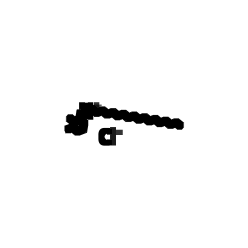 CCCCCCCCCCCCCCCCCC[N+](C)(C)Cc1cccc(C)c1C.[Cl-]